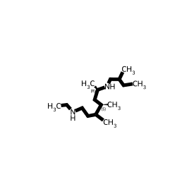 CCNCCC(C)[C@@H](C)C[C@@H](C)NCC(C)CC